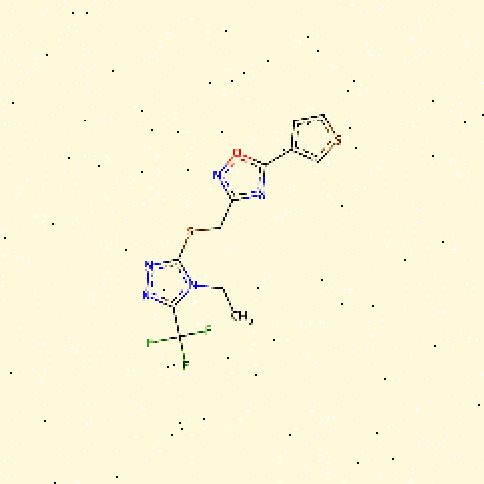 CCn1c(SCc2noc(-c3ccsc3)n2)nnc1C(F)(F)F